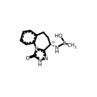 CB(O)N[C@H]1CCc2ccccc2-n2c1n[nH]c2=O